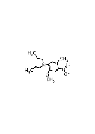 CCCN(CCC)c1cc(C)c([N+](=O)[O-])cc1OC